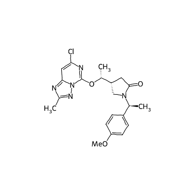 COc1ccc([C@H](C)N2C[C@H]([C@@H](C)Oc3nc(Cl)cc4nc(C)nn34)CC2=O)cc1